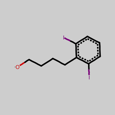 [O]CCCCc1c(I)cccc1I